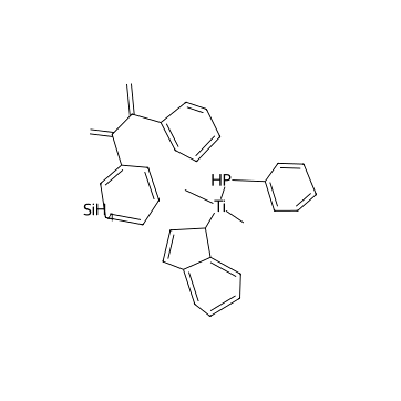 C=C(C(=C)c1ccccc1)c1ccccc1.[CH3][Ti]([CH3])([PH]c1ccccc1)[CH]1C=Cc2ccccc21.[SiH4]